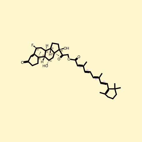 CC1=C(/C=C/C(C)=C/C=C/C(C)=C/C(=O)OCC(=O)[C@@]2(O)CC[C@H]3[C@@H]4C[C@H](F)C5=CC(=O)CC[C@]5(C)[C@H]4[C@@H](O)C[C@@]32C)C(C)(C)CCC1